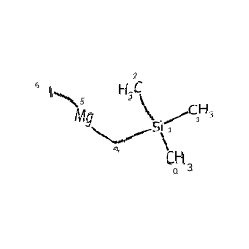 C[Si](C)(C)[CH2][Mg][I]